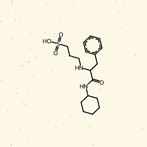 O=C(NC1CCCCC1)C(Cc1ccccc1)NCCCS(=O)(=O)O